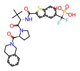 CC(C)(C)[C@H](NC(=O)c1cc2cc(C(F)(F)P(=O)(O)O)ccc2s1)C(=O)N1CCC[C@H]1C(=O)N1CCc2ccccc2C1